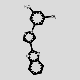 Cc1cc(C)cc(-n2cc(-c3nc4ccccc4o3)cn2)c1